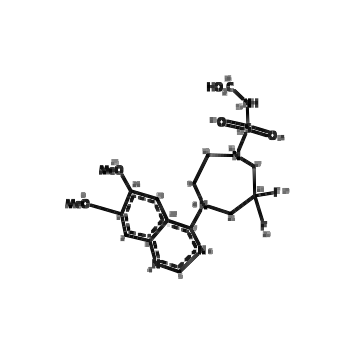 COc1cc2ncnc(N3CCN(S(=O)(=O)NC(=O)O)CC(F)(F)C3)c2cc1OC